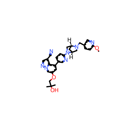 COc1ccc(CN2C[C@H]3C[C@@H]2CN3c2ccc(-c3cc(OCC(C)(C)O)cn4ncc(C#N)c34)cn2)cn1